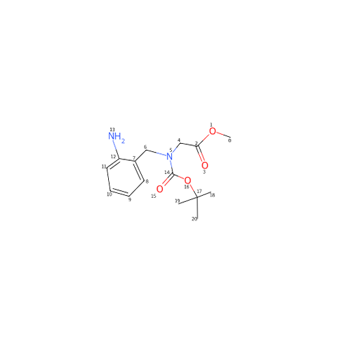 COC(=O)CN(Cc1ccccc1N)C(=O)OC(C)(C)C